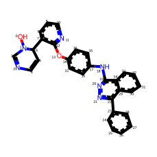 ON1C=NC=CC1c1cccnc1Oc1ccc(Nc2nnc(-c3ccccc3)c3ccccc23)cc1